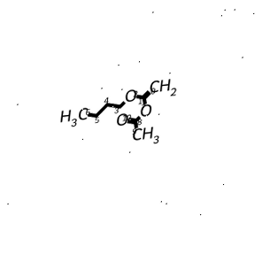 C=C(OCCCC)OC(C)=O